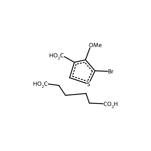 COc1c(C(=O)O)csc1Br.O=C(O)CCCCC(=O)O